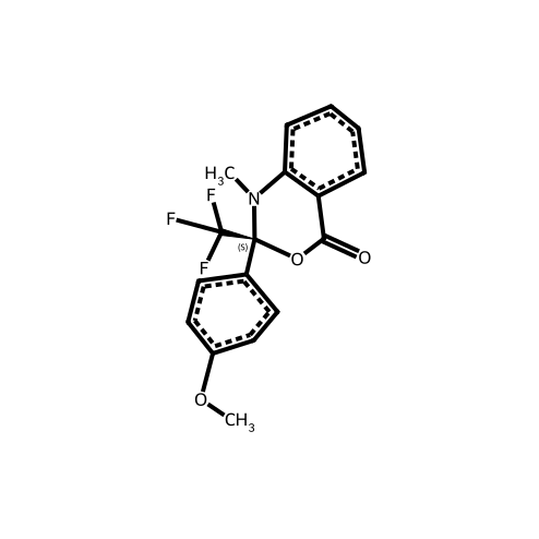 COc1ccc([C@@]2(C(F)(F)F)OC(=O)c3ccccc3N2C)cc1